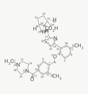 Cc1ccc(OCc2ccc(C(=O)N3CCN(C)CC3)cc2C)c(-c2csc(N3C[C@H]4CC[C@@H](C3)[C@H]4C(=O)O)n2)c1